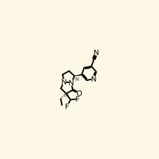 CC[C@]1(C(F)F)CN2CC[C@@H](c3cncc(C#N)c3)N2C1=O